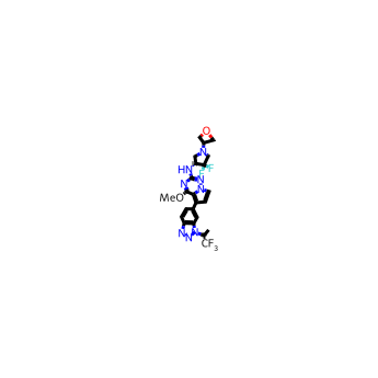 COc1nc(N[C@@H]2CN(C3COC3)CC2(F)F)nn2ccc(-c3ccc4nnn([C@@H](C)C(F)(F)F)c4c3)c12